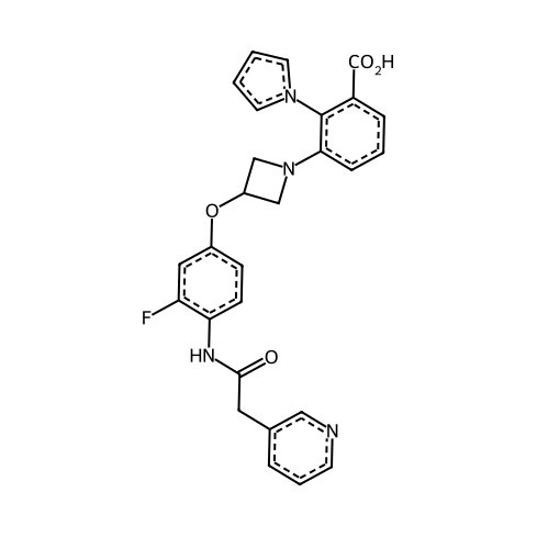 O=C(Cc1cccnc1)Nc1ccc(OC2CN(c3cccc(C(=O)O)c3-n3cccc3)C2)cc1F